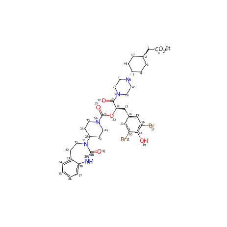 CCOC(=O)C[C@H]1CC[C@H](N2CCN(C(=O)[C@@H](Cc3cc(Br)c(O)c(Br)c3)OC(=O)N3CCC(N4CCc5ccccc5NC4=O)CC3)CC2)CC1